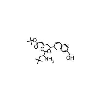 CC(/C=C\c1ccc(CO)cc1)C(C/C=C/C(=O)OC(C)(C)C)OC(=O)[C@@H](N)CC(C)(C)C